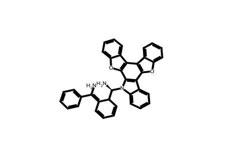 N/C(=C1/C=CC=CC1[C@@H](N)n1c2ccccc2c2c3oc4ccccc4c3c3c4ccccc4oc3c21)c1ccccc1